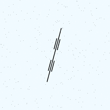 [CH2]C#CC#CC